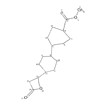 COC(=O)C1CCC(C2CCC(C3CC(=O)O3)CC2)CC1